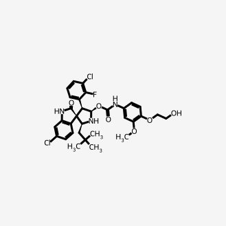 COc1cc(NC(=O)O[C@H]2N[C@@H](CC(C)(C)C)[C@@]3(C(=O)Nc4cc(Cl)ccc43)[C@H]2c2cccc(Cl)c2F)ccc1OCCO